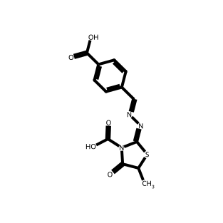 CC1SC(=NN=Cc2ccc(C(=O)O)cc2)N(C(=O)O)C1=O